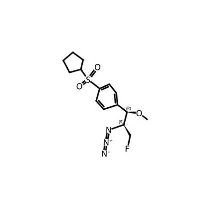 CO[C@H](c1ccc(S(=O)(=O)C2CCCC2)cc1)[C@@H](CF)N=[N+]=[N-]